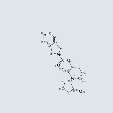 CC(C)CC(OC(=O)N1Cc2ccccc2C1)C(=O)N(C)C1COCC1=O